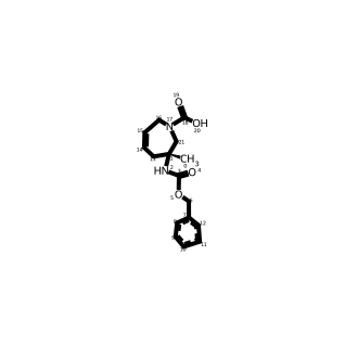 C[C@@]1(NC(=O)OCc2ccccc2)CC=CCN(C(=O)O)C1